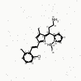 CC1=CC(/C=C/c2c(C)cccc2Cl)=NC/1=C(/CCN)c1cccn1BF